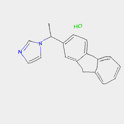 CC(c1ccc2c(c1)Cc1ccccc1-2)n1ccnc1.Cl